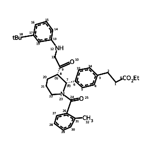 CCOC(=O)CCc1ccc([C@H]2[C@@H](C(=O)CNc3cccc(C(C)(C)C)c3)CCCN2C(=O)c2ccccc2C)cc1